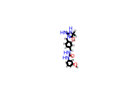 COc1cccc(NC(=O)NCc2ccc(CN3C(=N)NC(C)(C)C3=O)cc2)c1